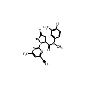 C#Cc1cc(C(F)(F)F)nc(N2NC(=O)CC2C(=O)N(C)c2ccc(Cl)c(C)c2)n1